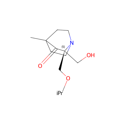 CC(C)OC[C@@]1(CO)C(=O)C2(C)CCN1CC2